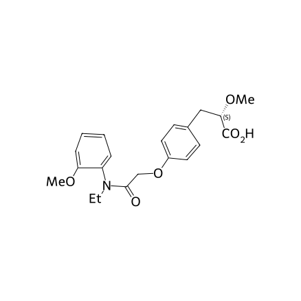 CCN(C(=O)COc1ccc(C[C@H](OC)C(=O)O)cc1)c1ccccc1OC